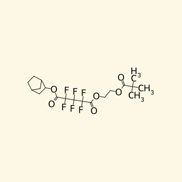 CC(C)(C)C(=O)OCCOC(=O)C(F)(F)C(F)(F)C(F)(F)C(=O)OC1CC2CCC1C2